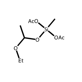 CCOC(C)O[Si](C)(OC(C)=O)OC(C)=O